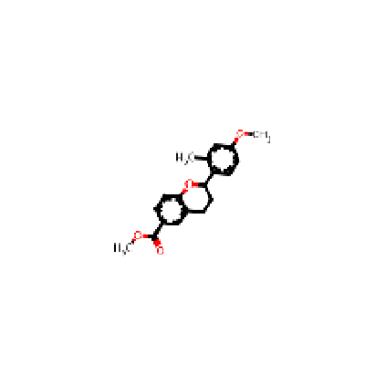 COC(=O)c1ccc2c(c1)CCC(c1ccc(OC)cc1C)O2